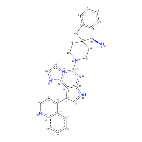 N[C@@H]1c2ccccc2CC12CCN(c1nc3[nH]cc(-c4ccnc5ccccc45)c3c3nccn13)CC2